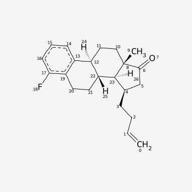 C=CCC[C@@H]1CC(=O)[C@@]2(C)CC[C@@H]3c4cccc(F)c4CC[C@H]3[C@H]12